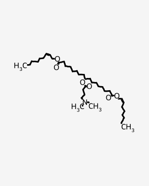 CCCCCC/C=C\COC(=O)CCCCCCCC(CCCCCCCC(=O)OC/C=C\CCCCCC)OC(=O)CCCN(C)CC